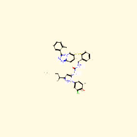 CSCC(C)c1cc(NC(=O)NCc2ccccc2Sc2ccc3nnc(-c4ccccc4C)n3c2)n(-c2ccc(O)c(Cl)c2)n1